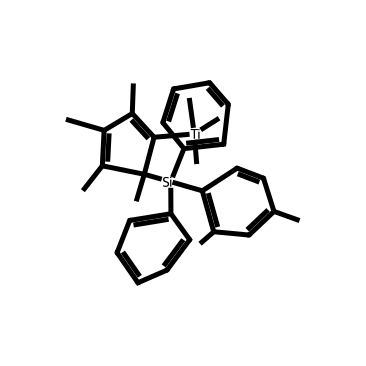 CC1=C(C)C(C)([Si](c2ccccc2)(c2ccccc2)c2ccc(C)cc2C)[C]([Ti]([CH3])([CH3])[CH3])=C1C